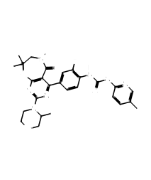 CCN1CC(C)(C)Oc2nc(N3CCOCC3C)nc(-c3ccc(NC(=O)Nc4ccc(C)cn4)c(F)c3)c2C1=O